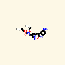 CCCOC(=O)N(Cc1c[nH]c(C=C2C(=O)Nc3ccc(N)cc32)c1)OCCC